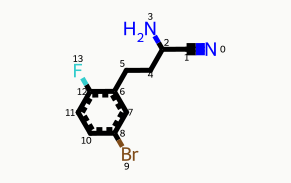 N#CC(N)CCc1cc(Br)ccc1F